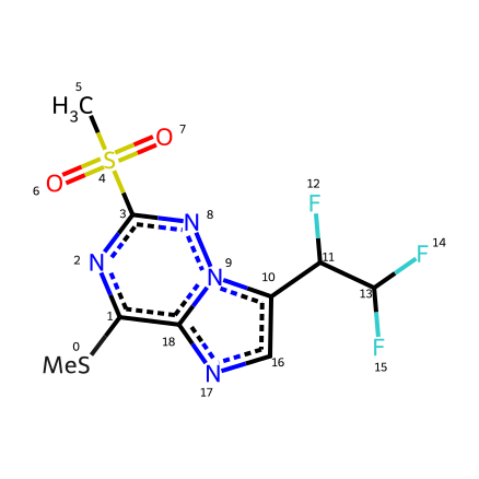 CSc1nc(S(C)(=O)=O)nn2c(C(F)C(F)F)cnc12